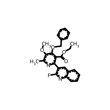 CCOC(=O)c1c(-c2cc3ccccc3nc2F)nc(C)c(OC)c1OCc1ccccc1